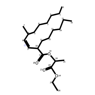 CCCCCCC(C)/C=C\C(CCCCCC)C(=O)OC(C)C(=O)OCC